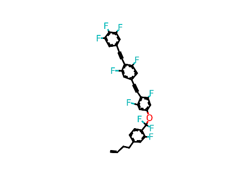 C=CCCc1ccc(C(F)(F)Oc2cc(F)c(C#Cc3cc(F)c(C#Cc4cc(F)c(F)c(F)c4)c(F)c3)c(F)c2)c(F)c1